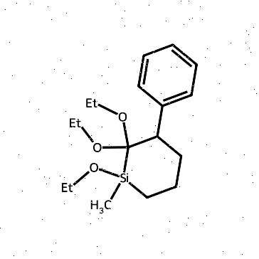 CCOC1(OCC)C(c2ccccc2)CCC[Si]1(C)OCC